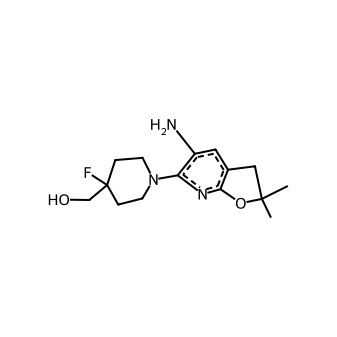 CC1(C)Cc2cc(N)c(N3CCC(F)(CO)CC3)nc2O1